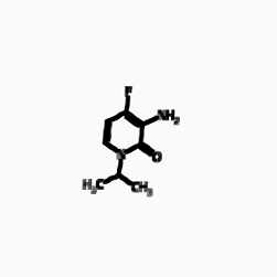 CC(C)n1ccc(F)c(N)c1=O